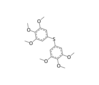 COc1cc(Sc2cc(OC)c(OC)c(OC)c2)cc(OC)c1OC